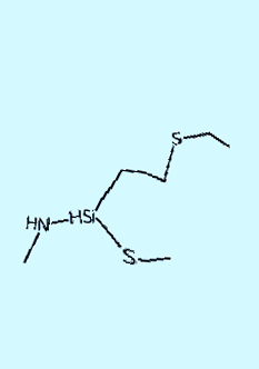 CN[SiH](CCSC)SC